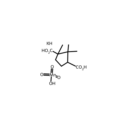 CC1(C(=O)O)CCC(C(=O)O)C1(C)C.[KH].[O]=[Mn](=[O])(=[O])[OH]